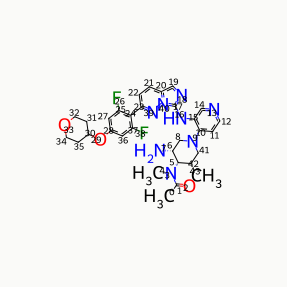 CC(=O)N(C)[C@@H]1[C@H](N)CN(c2ccncc2Nc2ncc3ccc(-c4c(F)cc(OC5CCOCC5)cc4F)nn23)C[C@@H]1C